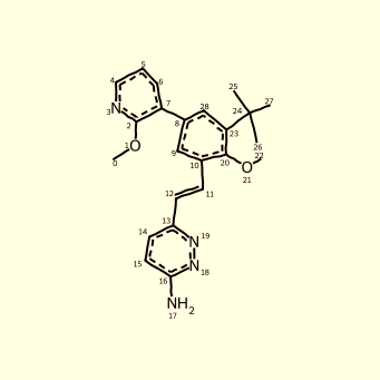 COc1ncccc1-c1cc(C=Cc2ccc(N)nn2)c(OC)c(C(C)(C)C)c1